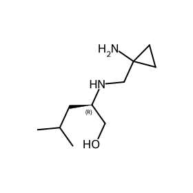 CC(C)C[C@H](CO)NCC1(N)CC1